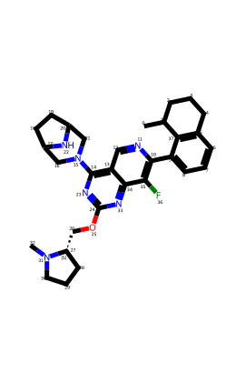 CC1CCCc2cccc(-c3ncc4c(N5CC6CCC(C5)N6)nc(OC[C@@H]5CCCN5C)nc4c3F)c21